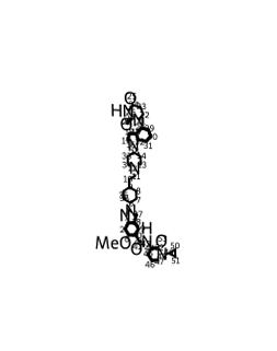 COc1cc2nn(C3CCC(CCN4CCC(n5ccc6c(N7CCC(=O)NC7=O)cccc65)CC4)CC3)cc2cc1C(=O)Nc1cccn(C2CC2)c1=O